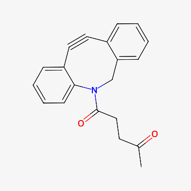 CC(=O)CCC(=O)N1Cc2ccccc2C#Cc2ccccc21